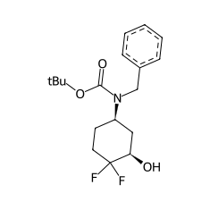 CC(C)(C)OC(=O)N(Cc1ccccc1)[C@@H]1CCC(F)(F)[C@H](O)C1